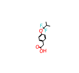 CC(C)C(F)(F)Oc1ccc(CC(=O)O)cc1